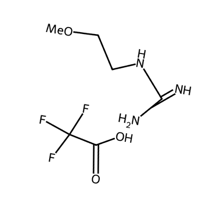 COCCNC(=N)N.O=C(O)C(F)(F)F